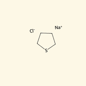 C1CCSC1.[Cl-].[Na+]